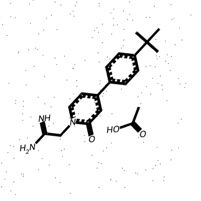 CC(=O)O.CC(C)(C)c1ccc(-c2ccn(CC(=N)N)c(=O)c2)cc1